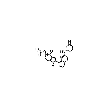 O=C1c2cc(-c3cccc4ccc(NC5CCCNC5)nc34)[nH]c2CCN1OC(=O)C(F)(F)F